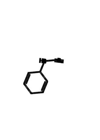 CCCCBC1C=CCC=C1